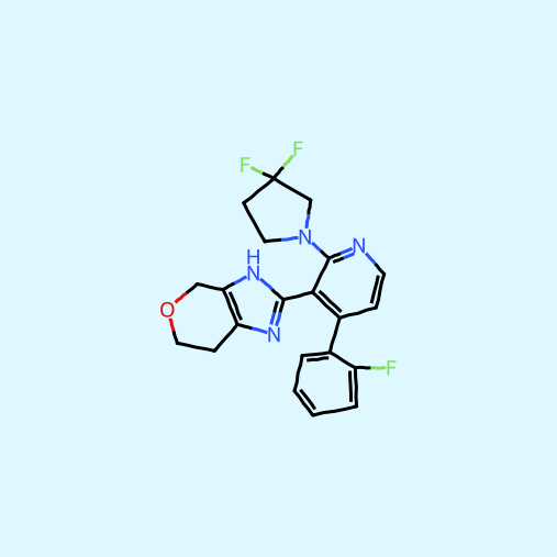 Fc1ccccc1-c1ccnc(N2CCC(F)(F)C2)c1-c1nc2c([nH]1)COCC2